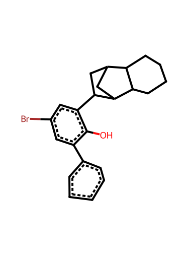 Oc1c(-c2ccccc2)cc(Br)cc1C1CC2CC1C1CCCCC21